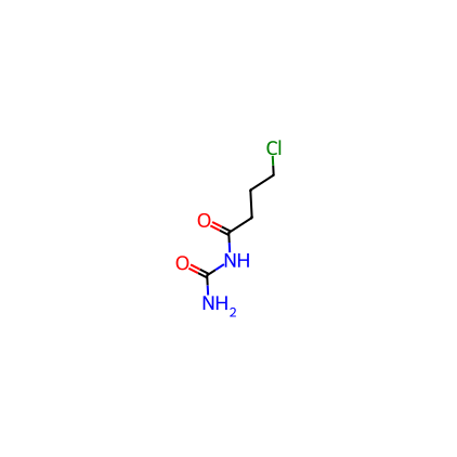 NC(=O)NC(=O)CCCCl